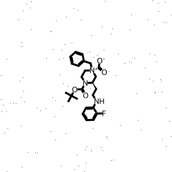 CC(C)(C)OC(=O)N1CC[N+](Cc2ccccc2)(C(=O)[O-])C[C@H]1CCNc1ccccc1F